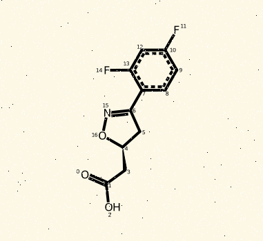 O=C(O)C[C@@H]1CC(c2ccc(F)cc2F)=NO1